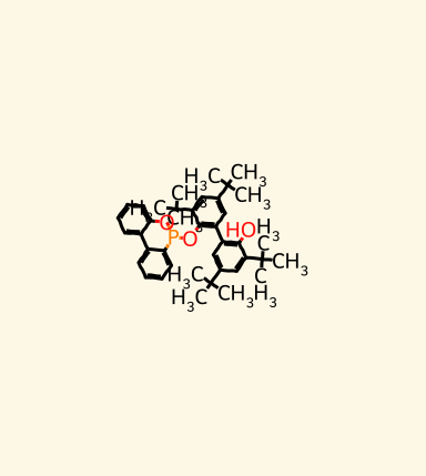 CC(C)(C)c1cc(-c2cc(C(C)(C)C)cc(C(C)(C)C)c2OP2Oc3ccccc3-c3ccccc32)c(O)c(C(C)(C)C)c1